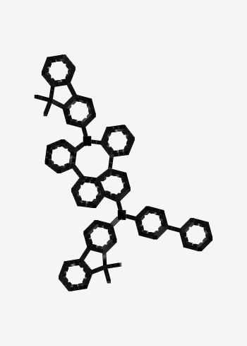 CC1(C)c2ccccc2-c2ccc(N3c4ccccc4-c4cccc5c(N(c6ccc(-c7ccccc7)cc6)c6ccc7c(c6)C(C)(C)c6ccccc6-7)ccc(c45)-c4ccccc43)cc21